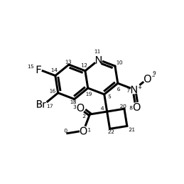 COC(=O)C1(c2c([N+](=O)[O-])cnc3cc(F)c(Br)cc23)CCC1